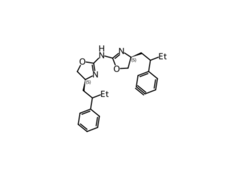 CCC(C[C@H]1COC(NC2=N[C@@H](CC(CC)c3ccccc3)CO2)=N1)c1cc#ccc1